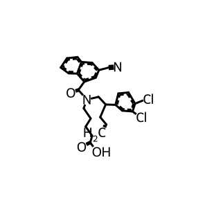 C=CCC(CN(CCCCC(=O)O)C(=O)c1cc(C#N)cc2ccccc12)c1ccc(Cl)c(Cl)c1